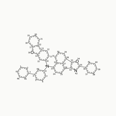 c1ccc(-c2cccc(N(c3ccc4c(c3)oc3ccccc34)c3ccc4c5c(cccc35)-c3oc(-c5ccccc5)nc3-4)c2)cc1